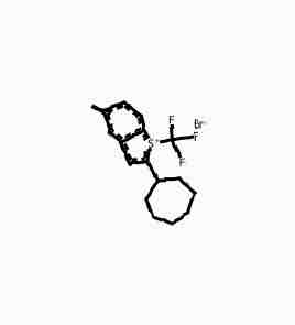 Cc1ccc2c(c1)cc(C1CCCCCC1)[s+]2C(F)(F)F.[Br-]